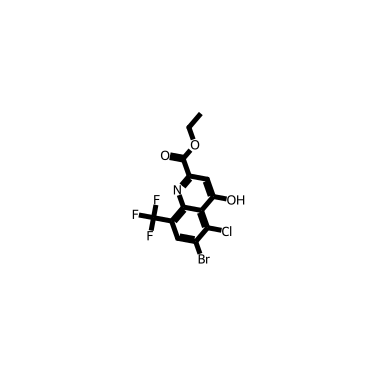 CCOC(=O)c1cc(O)c2c(Cl)c(Br)cc(C(F)(F)F)c2n1